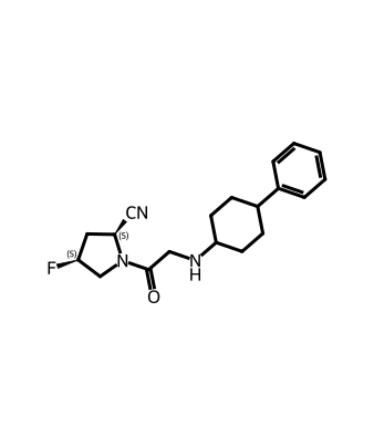 N#C[C@@H]1C[C@H](F)CN1C(=O)CNC1CCC(c2ccccc2)CC1